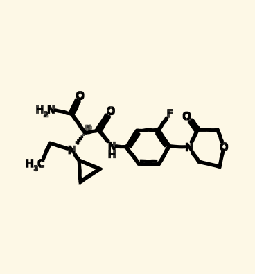 CCN(C1CC1)[C@H](C(N)=O)C(=O)Nc1ccc(N2CCOCC2=O)c(F)c1